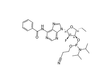 CC[C@H]1O[C@@H](n2cnc3c(NC(=O)c4ccccc4)ncnc32)[C@H](F)[C@@H]1OP(OCCC#N)N(C(C)C)C(C)C